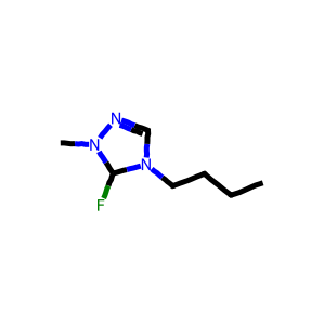 CCCCN1C=NN(C)C1F